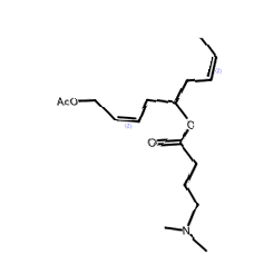 C/C=C\CC(C/C=C\COC(C)=O)OC(=O)CCCN(C)C